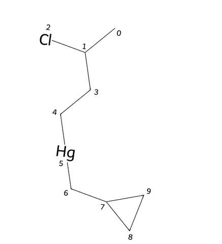 CC(Cl)C[CH2][Hg][CH2]C1CC1